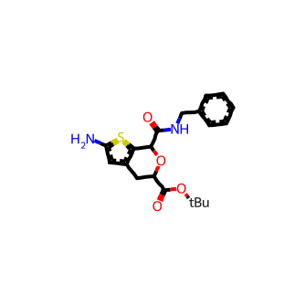 CC(C)(C)OC(=O)C1Cc2cc(N)sc2C(C(=O)NCc2ccccc2)O1